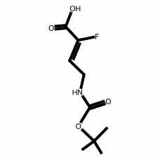 CC(C)(C)OC(=O)NC/C=C(\F)C(=O)O